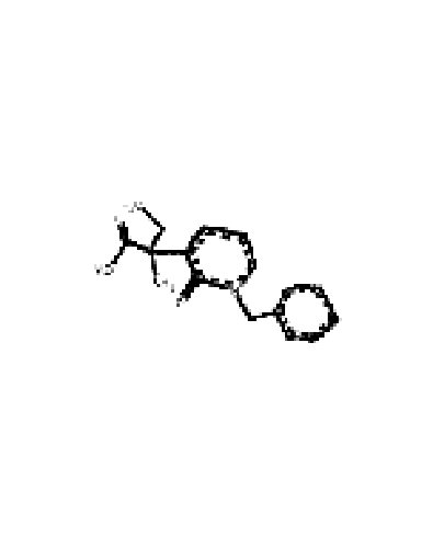 CCC(C)(C(=O)O)c1cccn(Cc2ccccc2)c1=O